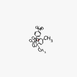 C=CC1(c2ccc(C)cc2)COC(=O)N1S(=O)(=O)c1ccc([N+](=O)[O-])cc1